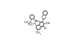 Cc1cc([C@@H](C)Nc2ccccc2C(=O)O)c2nc(N3Cc4ccccc4C3)c(C#N)c(=O)n2c1